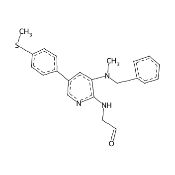 CSc1ccc(-c2cnc(NCC=O)c(N(C)Cc3ccccc3)c2)cc1